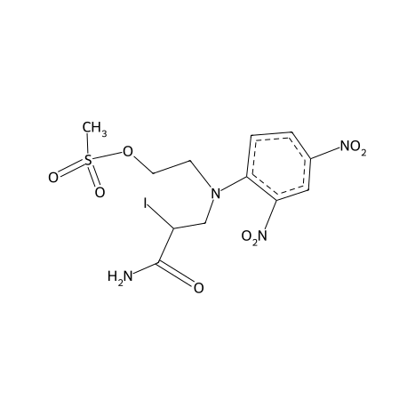 CS(=O)(=O)OCCN(CC(I)C(N)=O)c1ccc([N+](=O)[O-])cc1[N+](=O)[O-]